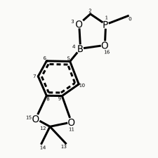 CP1COB(c2ccc3c(c2)OC(C)(C)O3)O1